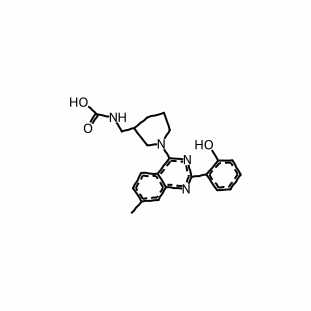 Cc1ccc2c(N3CCCC(CNC(=O)O)C3)nc(-c3ccccc3O)nc2c1